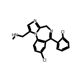 CNCc1cnc2n1-c1ccc(Cl)cc1C(c1ccccc1Cl)=NC2